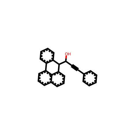 OC(C#Cc1ccccc1)C1c2ccccc2-c2cccc3cccc1c23